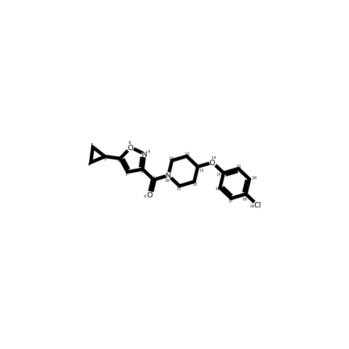 O=C(c1cc(C2CC2)on1)N1CCC(Oc2ccc(Cl)cc2)CC1